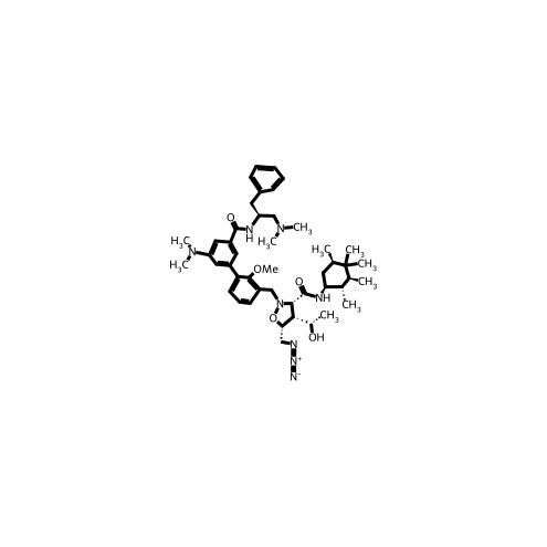 COc1c(CN2O[C@@H](CN=[N+]=[N-])[C@@H]([C@H](C)O)[C@H]2C(=O)N[C@H]2C[C@@H](C)C(C)(C)[C@@H](C)[C@@H]2C)cccc1-c1cc(C(=O)N[C@@H](Cc2ccccc2)CN(C)C)cc(N(C)C)c1